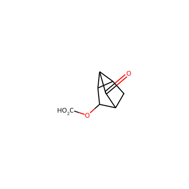 O=C(O)OC1C2CC3C(C2=O)C31